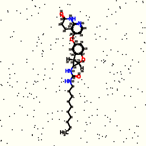 CCCCCCCCCCNC(=O)NC1[C@H]2Oc3ccc(Oc4ccnc5c4CCC(=O)N5)cc3[C@@H]12